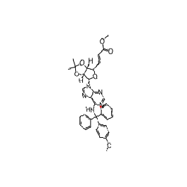 COC(=O)/C=C/[C@H]1O[C@@H](n2cnc3c(NC(c4ccccc4)(c4ccccc4)c4ccc(OC)cc4)ncnc32)[C@@H]2OC(C)(C)O[C@@H]21